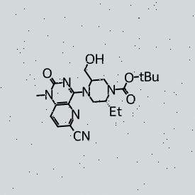 CC[C@@H]1CN(c2nc(=O)n(C)c3ccc(C#N)nc23)C(CO)CN1C(=O)OC(C)(C)C